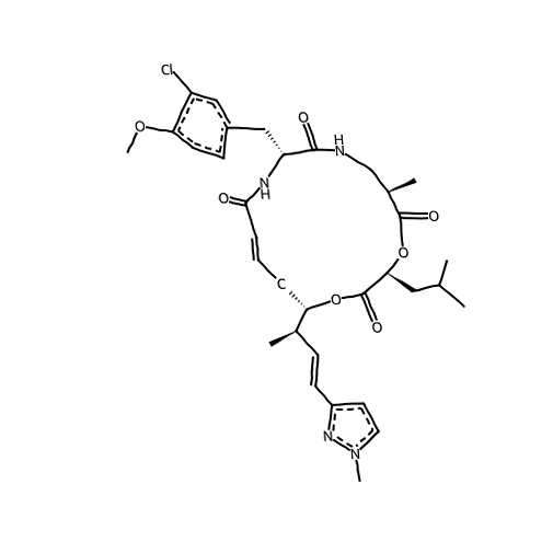 COc1ccc(C[C@H]2NC(=O)/C=C/C[C@@H]([C@H](C)/C=C/c3ccn(C)n3)OC(=O)[C@H](CC(C)C)OC(=O)[C@H](C)CNC2=O)cc1Cl